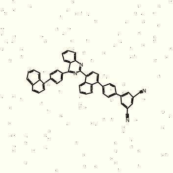 N#Cc1cc(C#N)cc(-c2ccc(-c3ccc(-c4nc(-c5ccc(-c6cccc7ccccc67)cc5)c5ccccc5n4)c4ccccc34)cc2)c1